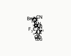 CC1CN(c2ncnc3c2c(C(F)(F)F)cn3-c2cc(C#N)cc(Br)n2)C(C)CN1C(=O)OC(C)(C)C